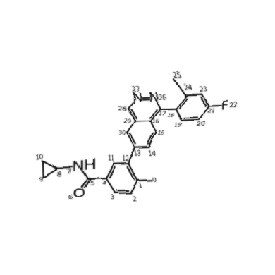 Cc1ccc(C(=O)NC2CC2)cc1-c1ccc2c(-c3ccc(F)cc3C)nncc2c1